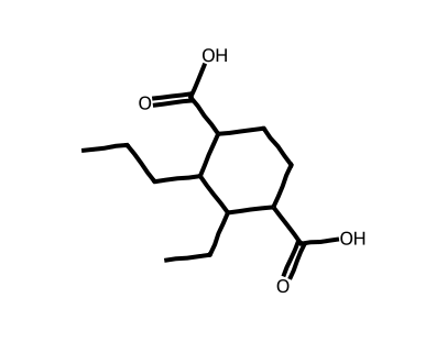 CCCC1C(C(=O)O)CCC(C(=O)O)C1CC